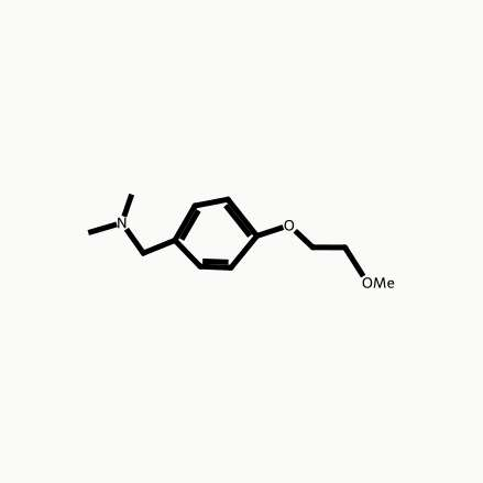 COCCOc1ccc(CN(C)C)cc1